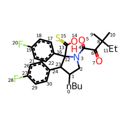 CCCCC1CN(C(=O)C(=O)C(C)(C)CC)C(C(O)=S)(c2ccc(F)cc2)C1c1ccc(F)cc1